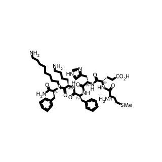 CSCC[C@H](N)C(=O)N[C@@H](CCC(=O)O)C(=O)N[C@@H](Cc1c[nH]cn1)C(=O)N[C@@H](Cc1ccccc1)C(=O)N[C@H](CCCCN)C(=O)N(CCCCCCCCN)[C@@H](Cc1ccccc1)C(N)=O